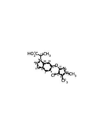 CC(C(=O)O)n1nnc2ccc(Oc3nn(C)c(C(F)(F)F)c3Cl)cc21